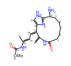 C=C1NC(=O)CCCCC[C@H](N)c2nc(c[nH]2)/C1=C/C=C(\C)NC(=O)OC